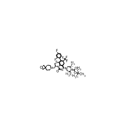 C[C@@H]1CN(c2nc(=O)n3c4c(c(-c5ccc(F)cc5F)c(C(F)(F)F)cc24)SC[C@@H]3CN2CCC3(CC2)COC3)C[C@H](C)N1C(=O)OC(C)(C)C